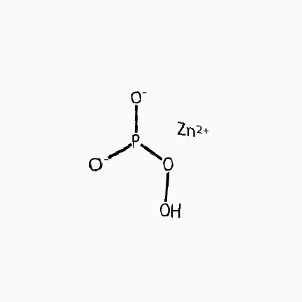 [O-]P([O-])OO.[Zn+2]